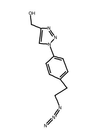 [N-]=[N+]=NCCc1ccc(-n2cc(CO)nn2)cc1